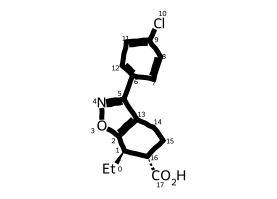 CC[C@H]1c2onc(-c3ccc(Cl)cc3)c2CC[C@@H]1C(=O)O